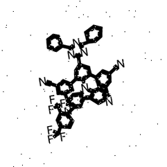 N#Cc1cc(C#N)cc(-c2cc(-c3nc(-c4ccccc4)nc(-c4ccccc4)n3)cc(-c3cc(C#N)cc(C#N)c3)c2-n2c3ccccc3c3cc(-c4ccc(C(F)(F)F)cc4C(F)(F)F)ccc32)c1